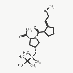 CNC/C=C1\CCCC1C(=O)N1C[C@H](O[Si](C)(C)C(C)(C)C)C[C@H]1C(C)=O